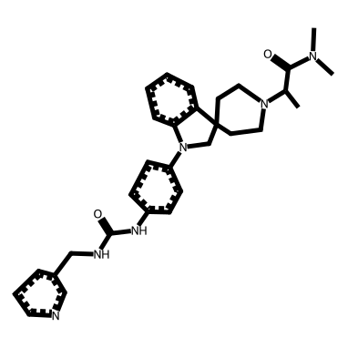 CC(C(=O)N(C)C)N1CCC2(CC1)CN(c1ccc(NC(=O)NCc3cccnc3)cc1)c1ccccc12